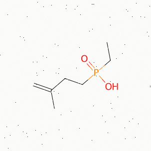 C=C(C)CCP(=O)(O)CC